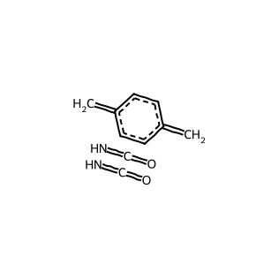 C=c1ccc(=C)cc1.N=C=O.N=C=O